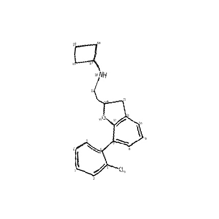 Clc1ccccc1-c1cccc2c1OC(CNC1CCC1)C2